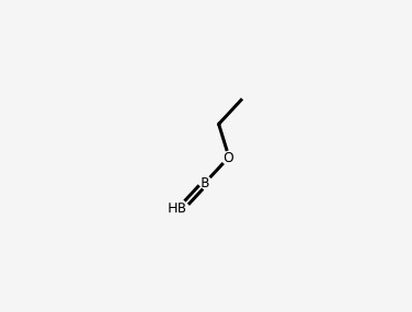 B=BOCC